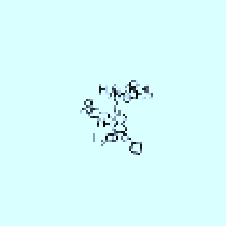 COc1cc2c(cc1OCc1ccccc1)CCN(CCCN(C)C(=O)OC(C)(C)C)C2/C=C/c1cc2c(cc1C)OCO2